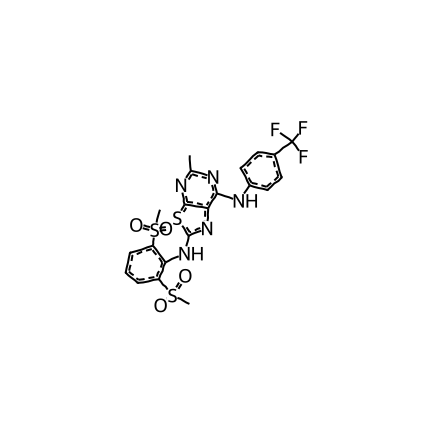 Cc1nc(Nc2ccc(C(F)(F)F)cc2)c2nc(Nc3c(S(C)(=O)=O)cccc3S(C)(=O)=O)sc2n1